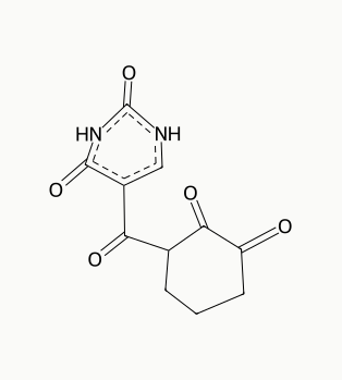 O=C1CCCC(C(=O)c2c[nH]c(=O)[nH]c2=O)C1=O